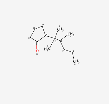 CCCC(C)C(C)(C)C1CCCC1=O